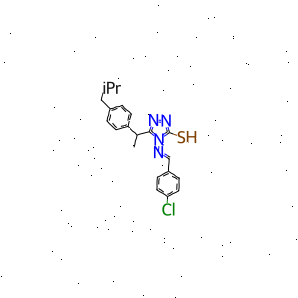 CC(C)Cc1ccc(C(C)c2nnc(S)n2N=Cc2ccc(Cl)cc2)cc1